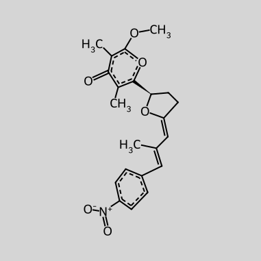 COc1oc([C@H]2CC/C(=C/C(C)=C/c3ccc([N+](=O)[O-])cc3)O2)c(C)c(=O)c1C